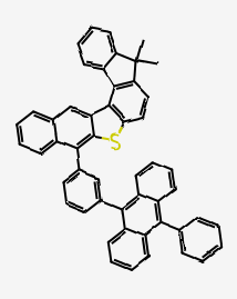 CC1(C)c2ccccc2-c2c1ccc1sc3c(-c4cccc(-c5c6ccccc6c(-c6ccccc6)c6ccccc56)c4)c4ccccc4cc3c21